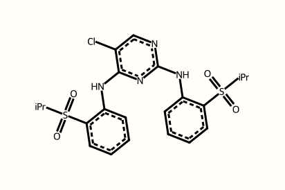 CC(C)S(=O)(=O)c1ccccc1Nc1ncc(Cl)c(Nc2ccccc2S(=O)(=O)C(C)C)n1